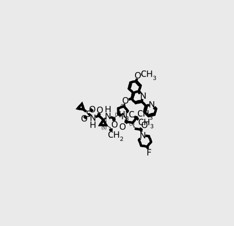 C=C[C@@H]1C[C@]1(NC(=O)[C@@H]1C[C@@H](Oc2cc(-c3ccccn3)nc3cc(OC)ccc23)CN1C(=O)[C@@H](CC(=O)N1CCC(F)CC1)C(C)(C)C)C(=O)NS(=O)(=O)C1CC1